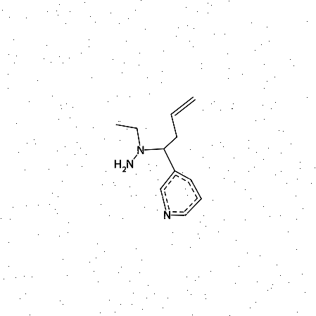 C=CCC(c1cccnc1)N(N)CC